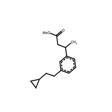 COC(=O)CC(C)c1cccc(CCC2CC2)c1